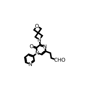 O=CCCc1cn(-c2cccnc2)c(=O)c(N2CC3(COC3)C2)n1